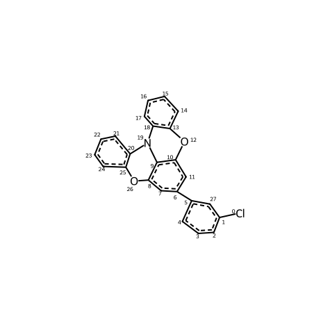 Clc1cccc(-c2cc3c4c(c2)Oc2ccccc2N4c2ccccc2O3)c1